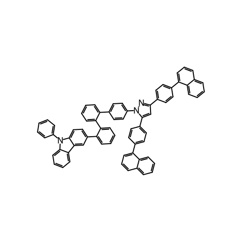 c1ccc(-n2c3ccccc3c3cc(-c4ccccc4-c4ccccc4-c4ccc(-n5nc(-c6ccc(-c7cccc8ccccc78)cc6)cc5-c5ccc(-c6cccc7ccccc67)cc5)cc4)ccc32)cc1